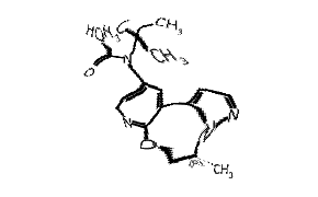 C[C@@H]1COc2ncc(N(C(=O)O)C(C)(C)C)cc2-c2ccnn21